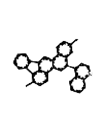 Cc1ccc2c(c1)c(-c1ccnc3ccccc13)cc1c3ccc(C)c4c3c(cc21)-c1ccccc1-4